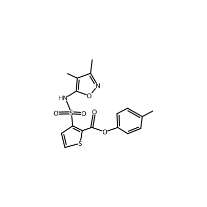 Cc1ccc(OC(=O)c2sccc2S(=O)(=O)Nc2onc(C)c2C)cc1